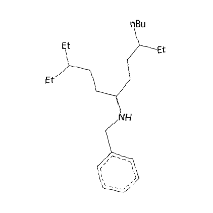 CCCCC(CC)CCC(CCC(CC)CC)NCc1ccccc1